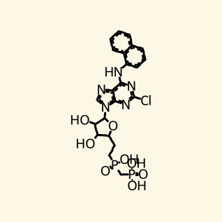 O=P(O)(O)CP(=O)(O)CCC1OC(n2cnc3c(Nc4cccc5ccccc45)nc(Cl)nc32)C(O)C1O